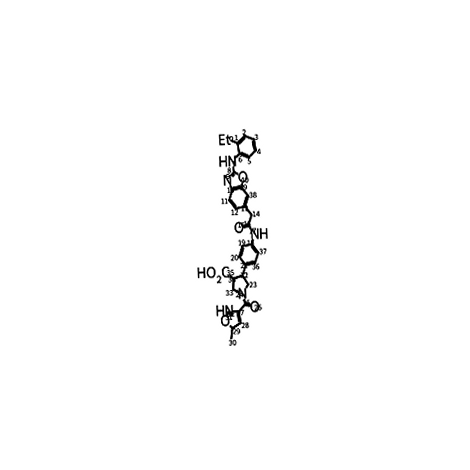 CCc1ccccc1Nc1nc2ccc(CC(=O)Nc3ccc(C4CN(C(=O)C5=CC(C)ON5)CC4C(=O)O)cc3)cc2o1